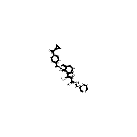 O=C(NC[C@@H]1COCCO1)c1oc2c(c1C(F)(F)F)-c1nn(CC3CCN(C(=O)C4CC4)CC3)cc1CC2